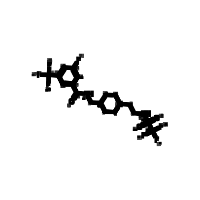 O=C(NCC1CCN(CCNS(=O)(=O)C(F)(F)F)CC1)c1cc(F)cc(C(F)(F)F)c1